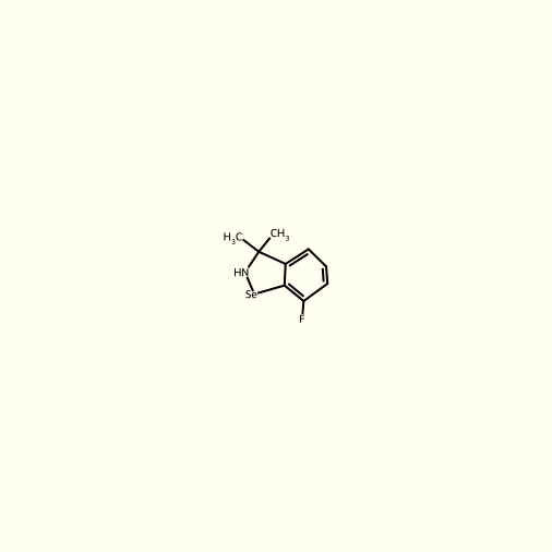 CC1(C)N[Se]c2c(F)cccc21